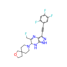 FCC1=Nc2c(C#Cc3cc(F)c(F)cc3F)n[nH]c2NC1N1CCC2(CCOC2)CC1